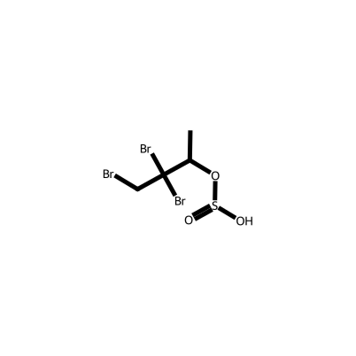 CC(OS(=O)O)C(Br)(Br)CBr